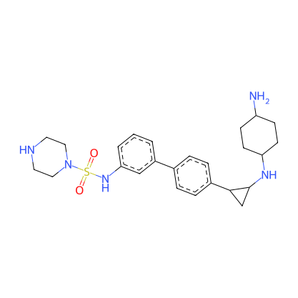 NC1CCC(NC2CC2c2ccc(-c3cccc(NS(=O)(=O)N4CCNCC4)c3)cc2)CC1